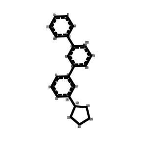 c1ccc(-c2cc(-c3cccc(C4CCCC4)c3)ccn2)cc1